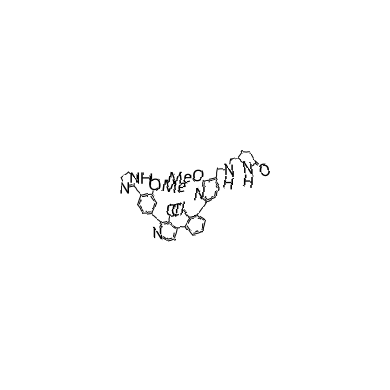 COc1cc(-c2nccc(-c3cccc(-c4ccc(CNC[C@H]5CCC(=O)N5)c(OC)n4)c3Cl)c2Cl)ccc1C1=NCCN1